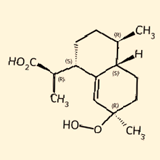 C[C@@H]1CC[C@@H]([C@@H](C)C(=O)O)C2=C[C@](C)(OO)CC[C@H]21